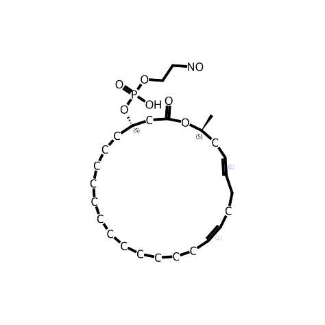 C[C@H]1C/C=C/CC/C=C\CCCCCCCCCCCC[C@H](OP(=O)(O)OCCN=O)CC(=O)O1